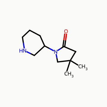 CC1(C)CC(=O)N(C2CCCNC2)C1